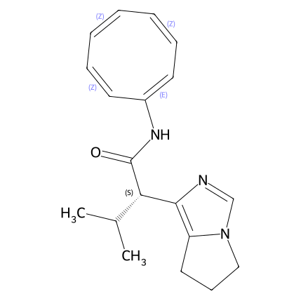 CC(C)[C@H](C(=O)NC1=C/C=C\C=C/C=C\1)c1ncn2c1CCC2